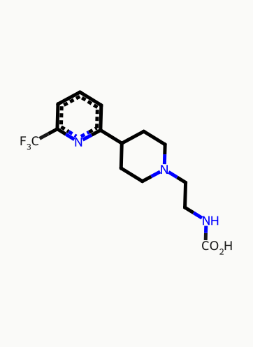 O=C(O)NCCN1CCC(c2cccc(C(F)(F)F)n2)CC1